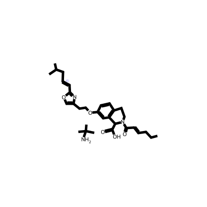 CC(C)(C)N.CCCC=CC(=O)N1CCc2ccc(OCCc3coc(/C=C/CC(C)C)n3)cc2C1C(=O)O